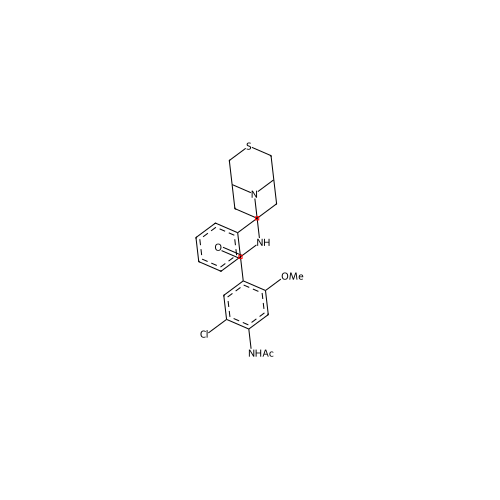 COc1cc(NC(C)=O)c(Cl)cc1C(=O)NC1CC2CSCC(C1)N2Cc1ccccc1